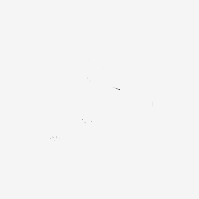 COCOc1ccc(CN2C(=O)S[C@@H](c3ccc(Cl)cc3)[C@@H]2C)cc1[N+](=O)[O-]